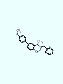 CC1c2cc(-c3ccc(OC(F)(F)F)cc3)ccc2OCN1Cc1ncccn1